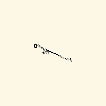 CCCCCCCCCCCCCCCCCCCC(COCCOc1ccccc1)OP(=O)(O)O